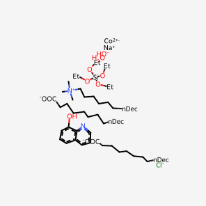 CCCCCCCCCCCCCCCCCC(=O)[O-].CCCCCCCCCCCCCCCCCC(=O)[O-].CCCCCCCCCCCCCCCC[N+](C)(C)C.CCO[Si](OCC)(OCC)OCC.O.Oc1cccc2cccnc12.[Cl-].[Co+2].[Na+].[OH-]